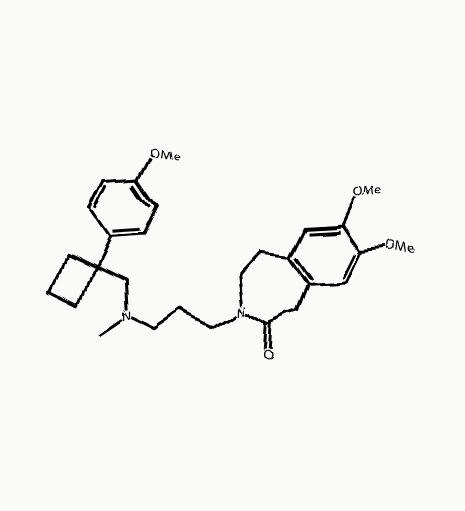 COc1ccc(C2(CN(C)CCCN3CCc4cc(OC)c(OC)cc4CC3=O)CCC2)cc1